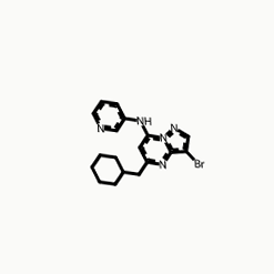 Brc1cnn2c(Nc3cccnc3)cc(CC3CCCCC3)nc12